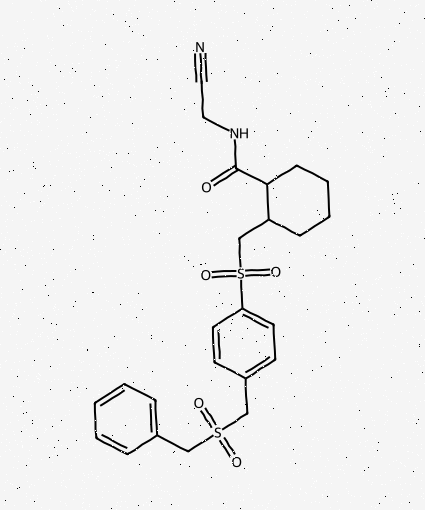 N#CCNC(=O)C1CCCCC1CS(=O)(=O)c1ccc(CS(=O)(=O)Cc2ccccc2)cc1